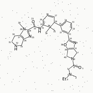 CCN(C)CC(=O)N1Cc2nc(-c3cccc(C4C=CC=C(NC(=O)c5nc6c(n5C)CCNC6)C4(C)C)c3)oc2C1